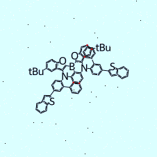 CC(C)(C)c1ccc2oc3c(c2c1)N(c1ccc(-c2cc4ccccc4s2)cc1-c1ccccc1)c1cccc2c1B3c1oc3ccc(C(C)(C)C)cc3c1N2c1ccc(-c2cc3ccccc3s2)cc1-c1ccccc1